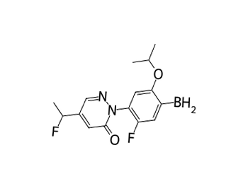 Bc1cc(F)c(-n2ncc(C(C)F)cc2=O)cc1OC(C)C